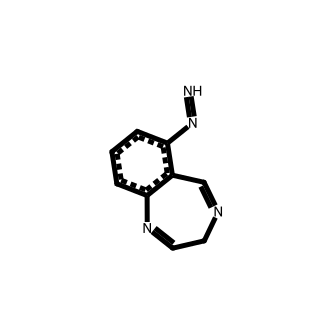 N=Nc1cccc2c1C=NCC=N2